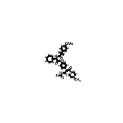 CCC(=O)N[C@H](C)[C@@H](C(=O)N1CCN(C)CC1)c1ccc(NC(=O)[C@@H](NC(=O)C(F)(F)c2ccc(OC)nc2)C2CCCCCC2)cc1